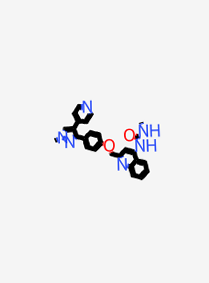 CNC(=O)Nc1cc(COc2ccc(-c3nn(C)cc3-c3ccncc3)cc2)nc2ccccc12